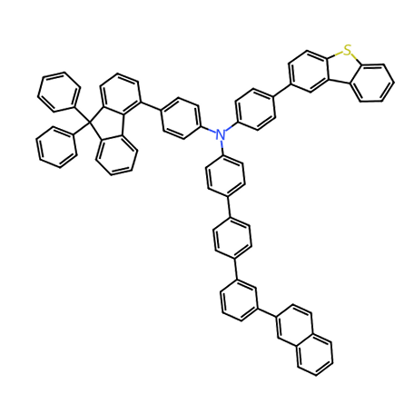 c1ccc(C2(c3ccccc3)c3ccccc3-c3c(-c4ccc(N(c5ccc(-c6ccc(-c7cccc(-c8ccc9ccccc9c8)c7)cc6)cc5)c5ccc(-c6ccc7sc8ccccc8c7c6)cc5)cc4)cccc32)cc1